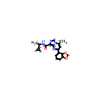 Cc1cc(-c2cccc3c2OCO3)nc2c(C(=O)NC(C)C3CC3)ncn12